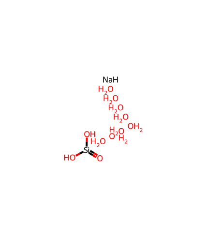 O.O.O.O.O.O.O.O.O=[Si](O)O.[NaH]